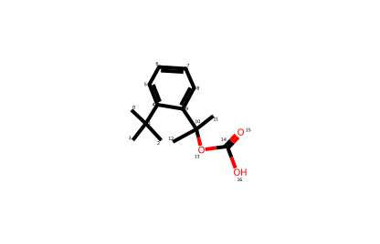 CC(C)(C)c1ccccc1C(C)(C)OC(=O)O